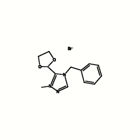 C[n+]1ncn(Cc2ccccc2)c1C1OCCO1.[Br-]